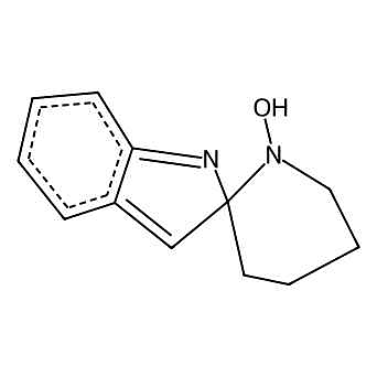 ON1CCCCC12C=c1ccccc1=N2